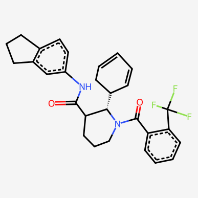 O=C(Nc1ccc2c(c1)CCC2)C1CCCN(C(=O)c2ccccc2C(F)(F)F)[C@H]1C1C=CC=CC1